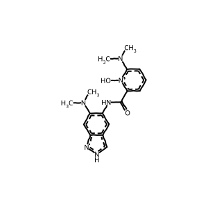 CN(C)c1cc2n[nH]cc2cc1NC(=O)c1cccc(N(C)C)[n+]1O